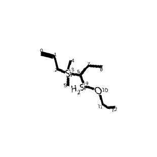 C=CC[Si](C)(C)C(CC)[SiH2]OCC